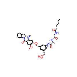 C=Nc1cc(OCc2cc(CO)cc(NC(=O)C(C)NC(=O)CNC(=O)CCCCC)c2)c(OC)cc1C(=O)N1CCc2ccccc21